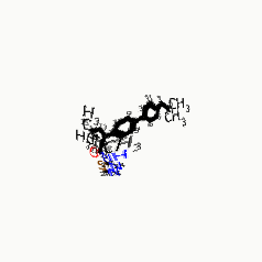 CC(C)Cc1ccc(-c2ccc(C(CC(C)C)C(C)(C)C(=O)Nc3nncs3)cc2)cc1